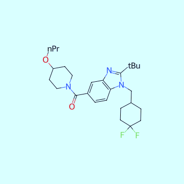 CCCOC1CCN(C(=O)c2ccc3c(c2)nc(C(C)(C)C)n3CC2CCC(F)(F)CC2)CC1